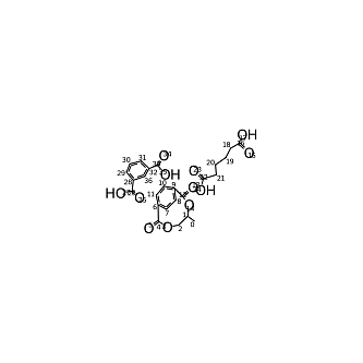 CC1COC(=O)c2ccc(cc2)C(=O)O1.O=C(O)CCCCC(=O)O.O=C(O)c1cccc(C(=O)O)c1